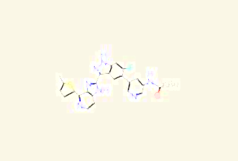 CCCCC(=O)Nc1cncc(-c2cc3c(-c4nc5c(-c6ccc(C)s6)nccc5[nH]4)n[nH]c3cc2F)c1